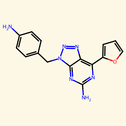 Nc1ccc(Cn2nnc3c(-c4ccco4)nc(N)nc32)cc1